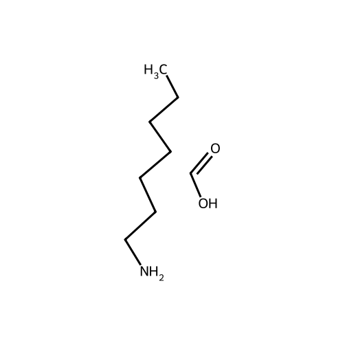 CCCCCCCN.O=CO